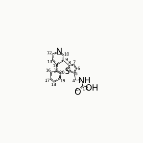 O=C(O)NCc1ccc(-c2cnccc2-c2ccccc2)s1